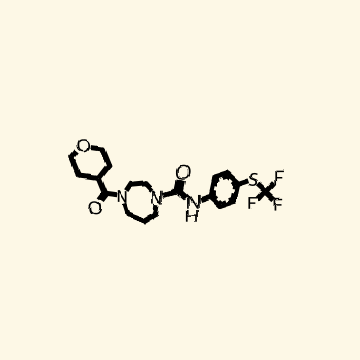 O=C(Nc1ccc(SC(F)(F)F)cc1)N1CCCN(C(=O)C2CCOCC2)CC1